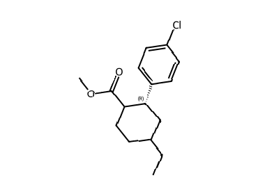 CCC1CCC(C(=O)OC)[C@H](c2ccc(Cl)cc2)C1